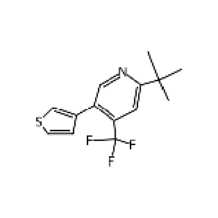 CC(C)(C)c1cc(C(F)(F)F)c(-c2ccsc2)cn1